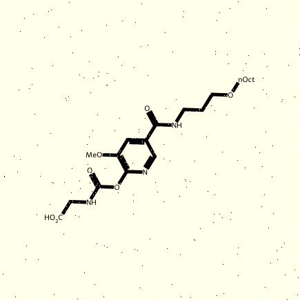 CCCCCCCCOCCCNC(=O)c1cnc(OC(=O)NCC(=O)O)c(OC)c1